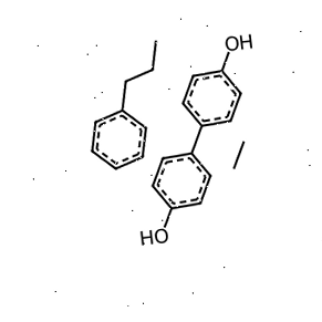 CC.CCCc1ccccc1.Oc1ccc(-c2ccc(O)cc2)cc1